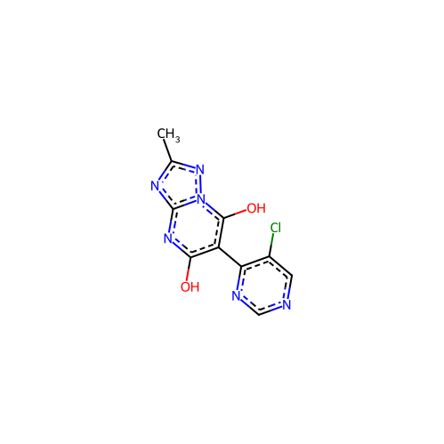 Cc1nc2nc(O)c(-c3ncncc3Cl)c(O)n2n1